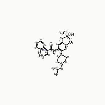 C[C@]1(O)COc2cc(N3CCN(CC(F)F)CC3)c(NC(=O)/C(C=N)=C3\N=CC=CN3)cc2C1